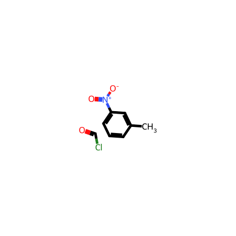 Cc1cccc([N+](=O)[O-])c1.O=CCl